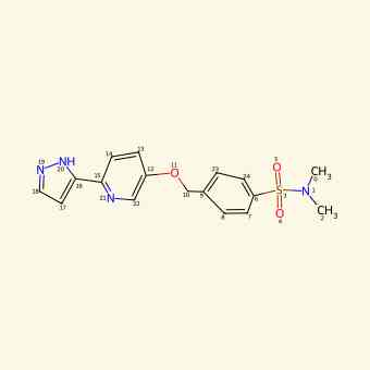 CN(C)S(=O)(=O)c1ccc(COc2ccc(-c3ccn[nH]3)nc2)cc1